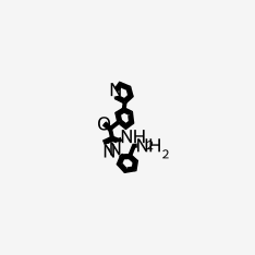 NCc1ccccc1-n1ncc(C(=O)c2cccc(-c3cccnc3)c2)c1N